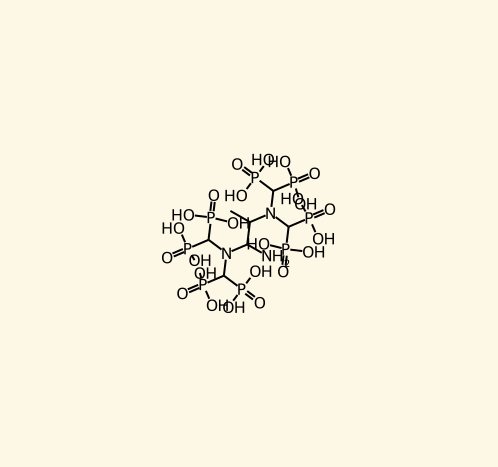 CC(C(N)N(C(P(=O)(O)O)P(=O)(O)O)C(P(=O)(O)O)P(=O)(O)O)N(C(P(=O)(O)O)P(=O)(O)O)C(P(=O)(O)O)P(=O)(O)O